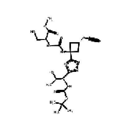 COC(=O)[C@H](CO)NC(=O)N[C@]1(c2nnc([C@@H](NC(=O)OC(C)(C)C)[C@@H](C)O)o2)C[C@@H](CC#N)C1